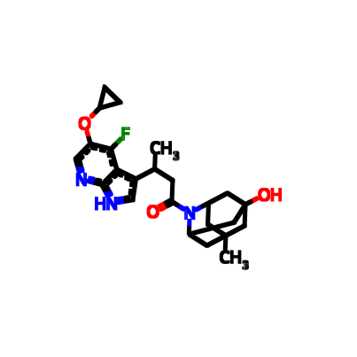 CC(CC(=O)N1C2CC3(C)CC1CC(O)(C2)C3)c1c[nH]c2ncc(OC3CC3)c(F)c12